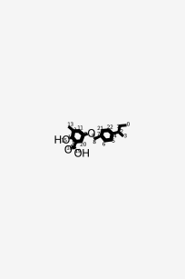 CCC(C)c1ccc(COc2cc(C)c(O)c(C(=O)O)c2)cc1